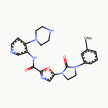 COc1cccc(N2CCN(c3cnc(C(=O)Nc4cnccc4N4CCNCC4)o3)C2=O)c1